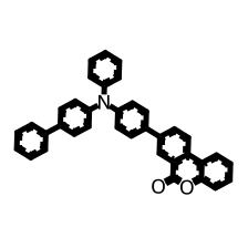 O=c1oc2ccccc2c2ccc(-c3ccc(N(c4ccccc4)c4ccc(-c5ccccc5)cc4)cc3)cc12